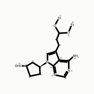 CCOC(CCc1cn([C@H]2CC[C@@H](C=O)C2)c2ncnc(N)c12)OCC